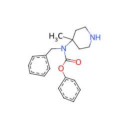 CC1(N(Cc2ccccc2)C(=O)Oc2ccccc2)CCNCC1